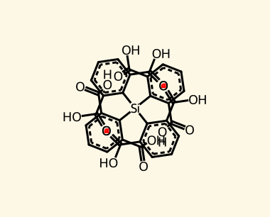 O=C(O)c1cccc(C(=O)O)c1[Si](c1c(C(=O)O)cccc1C(=O)O)(c1c(C(=O)O)cccc1C(=O)O)c1c(C(=O)O)cccc1C(=O)O